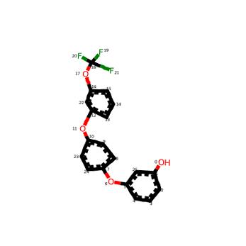 Oc1cccc(Oc2ccc(Oc3cccc(OC(F)(F)F)c3)cc2)c1